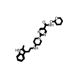 Cc1[nH]c2ccccc2c1CCNC1CCN(c2ncc(C(=O)NOC3CCCCO3)cn2)CC1